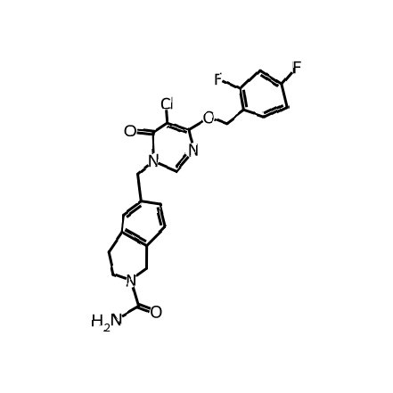 NC(=O)N1CCc2cc(Cn3cnc(OCc4ccc(F)cc4F)c(Cl)c3=O)ccc2C1